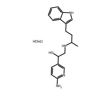 CC(CCc1c[nH]c2ccccc12)NCC(O)c1ccc(N)nc1.Cl.Cl